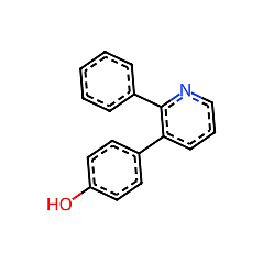 Oc1ccc(-c2cccnc2-c2ccccc2)cc1